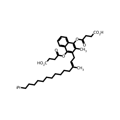 C/C(=C\Cc1c(C)c(OC(=O)CCC(=O)O)c2ccccc2c1OC(=O)CCC(=O)O)CCCCCCCCCCCC(C)C